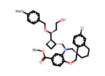 COc1ccc(CO[C@@H](CCO)[C@@H]2CC[C@H]2CN2C[C@@]3(CCCc4cc(Cl)ccc43)COc3ccc(C(=O)OC(C)(C)C)cc32)cc1